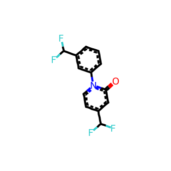 O=c1cc(C(F)F)ccn1-c1cccc(C(F)F)c1